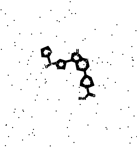 CNC(=O)c1ccc(-c2cnc3[nH]cc(-c4cnn([S+]([O-])c5cccs5)c4)c3c2)cc1